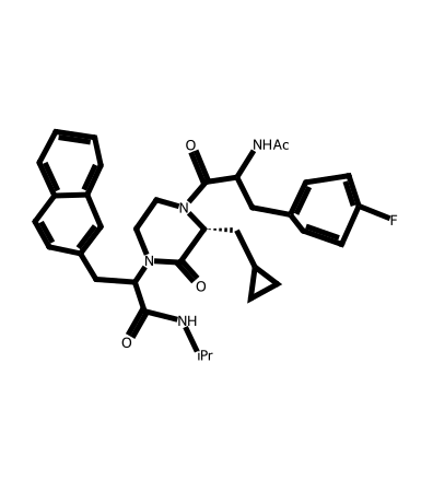 CC(=O)NC(Cc1ccc(F)cc1)C(=O)N1CCN(C(Cc2ccc3ccccc3c2)C(=O)NC(C)C)C(=O)[C@H]1CC1CC1